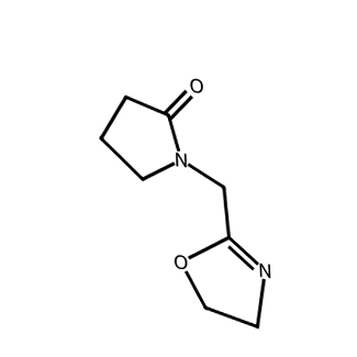 O=C1CCCN1CC1=NCCO1